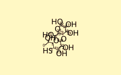 C[C@@H](O)C(CS)O[C@@H](O[C@@H]1C(CO)OC(O)C(O)C1O)[C@@H](O)CO